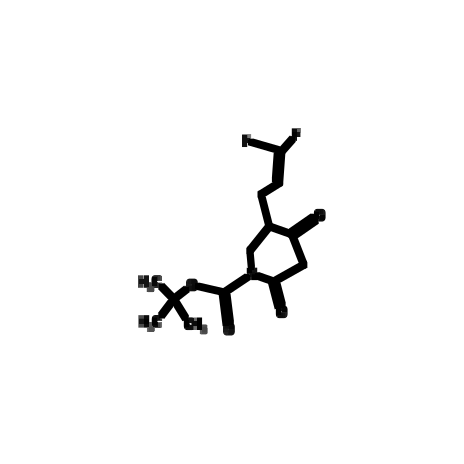 CC(C)(C)OC(=O)N1CC(CC=C(F)F)C(=O)CC1=O